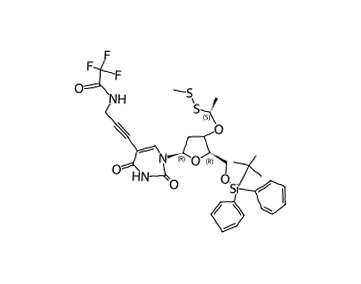 CSS[C@@H](C)OC1C[C@H](n2cc(C#CCNC(=O)C(F)(F)F)c(=O)[nH]c2=O)O[C@@H]1CO[Si](c1ccccc1)(c1ccccc1)C(C)(C)C